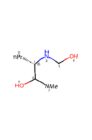 CCC[C@H](NCO)C(O)NC